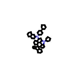 c1ccc(-c2ccc(N(c3ccc4ccccc4c3)c3cc4c5c6c(cccc36)C3(c6ccccc6-c6ccccc63)c3cccc(c35)n4-c3ccccc3)cc2)cc1